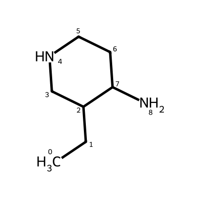 CCC1CNCCC1N